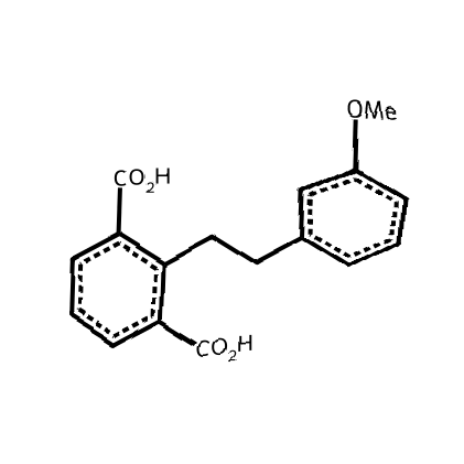 COc1cccc(CCc2c(C(=O)O)cccc2C(=O)O)c1